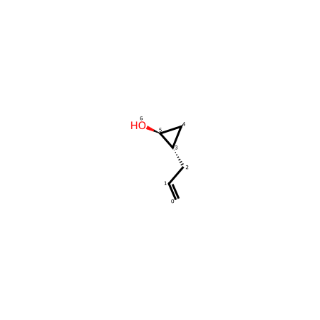 C=CC[C@H]1C[C@@H]1O